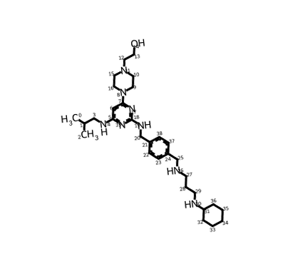 CC(C)CNc1cc(N2CCN(CCO)CC2)nc(NCc2ccc(CNCCCNC3CCCCC3)cc2)n1